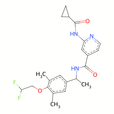 Cc1cc(C(C)NC(=O)c2ccnc(NC(=O)C3CC3)c2)cc(C)c1OCC(F)F